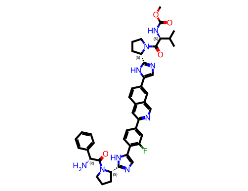 COC(=O)N[C@H](C(=O)N1CCC[C@H]1c1ncc(-c2ccc3cc(-c4ccc(-c5cnc([C@@H]6CCCN6C(=O)[C@H](N)c6ccccc6)[nH]5)c(F)c4)ncc3c2)[nH]1)C(C)C